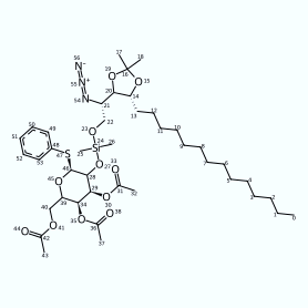 CCCCCCCCCCCCCC[C@H]1OC(C)(C)OC1[C@H](CO[Si](C)(C)OC1[C@@H](OC(C)=O)[C@@H](OC(C)=O)C(COC(C)=O)O[C@H]1Sc1ccccc1)N=[N+]=[N-]